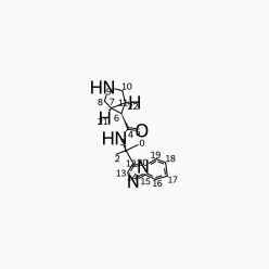 CC(C)(NC(=O)[C@H]1[C@@H]2CNC[C@@H]21)c1cnc2ccccn12